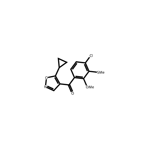 COc1c(C(=O)c2cnoc2C2CC2)ccc(Cl)c1SC